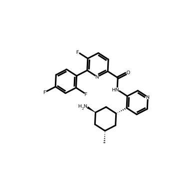 C[C@@H]1C[C@@H](N)C[C@H](c2ccncc2NC(=O)c2ccc(F)c(-c3ccc(F)cc3F)n2)C1